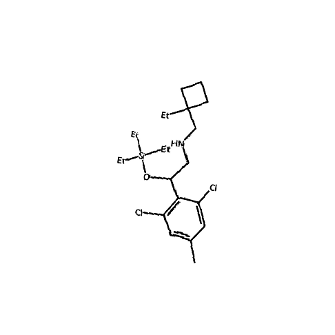 CCC1(CNCC(O[Si](CC)(CC)CC)c2c(Cl)cc(C)cc2Cl)CCC1